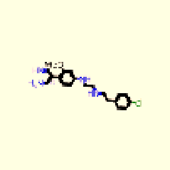 COc1cc(NCCNCCc2ccc(Cl)cc2)ccc1/C(C=N)=C/N